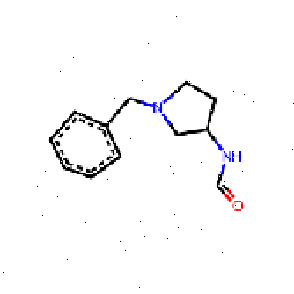 O=CNC1CCN(Cc2ccccc2)C1